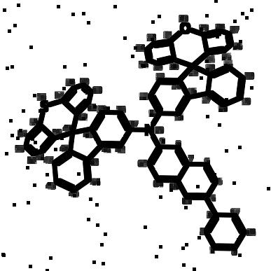 c1ccc(-c2ccc3cc(N(c4ccc5c(c4)-c4ccccc4C54c5ccccc5Oc5ccccc54)c4ccc5c(c4)-c4ccccc4C54c5ccccc5Sc5ccccc54)ccc3c2)cc1